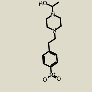 CC(O)N1CCN(CCc2ccc([N+](=O)[O-])cc2)CC1